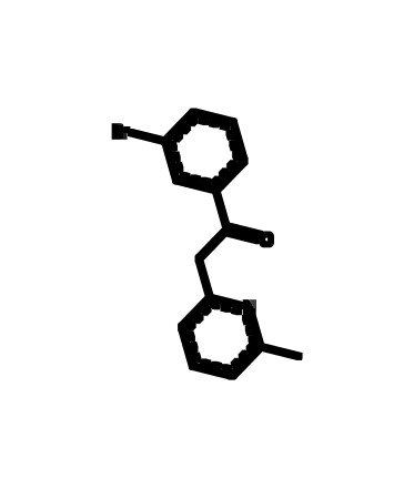 Cc1cccc(CC(=O)c2cccc(Br)c2)n1